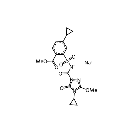 COC(=O)c1ccc(C2CC2)cc1S(=O)(=O)[N-]C(=O)n1nc(OC)n(C2CC2)c1=O.[Na+]